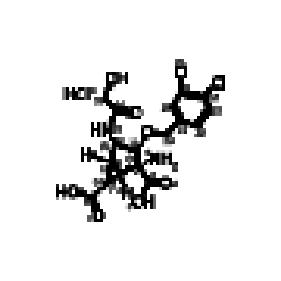 Cl.N[C@]1(C(=O)O)[C@@H]2[C@@H](C(=O)O)[C@@H]2[C@H](NC(=O)CO)[C@H]1OCc1ccc(Cl)c(Cl)c1